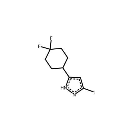 FC1(F)CCC(c2cc(I)n[nH]2)CC1